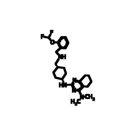 CN(C)c1nc(N[C@H]2CC[C@@H](CNCc3ccccc3OC(F)F)CC2)nc2c1CCCC2